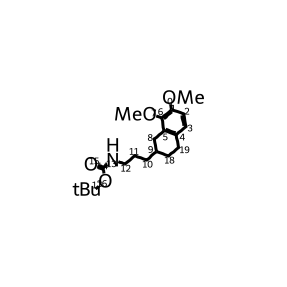 COc1ccc2c(c1OC)CC(CCCNC(=O)OC(C)(C)C)CC2